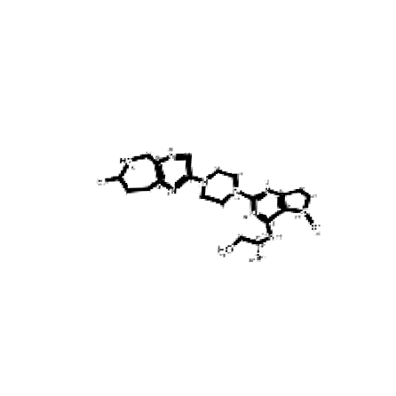 CCC1CCc2nc(N3CCN(c4nc5c(c(N[C@@H](CO)C(C)C)n4)[S+]([O-])CC5)CC3)cnc2CN1